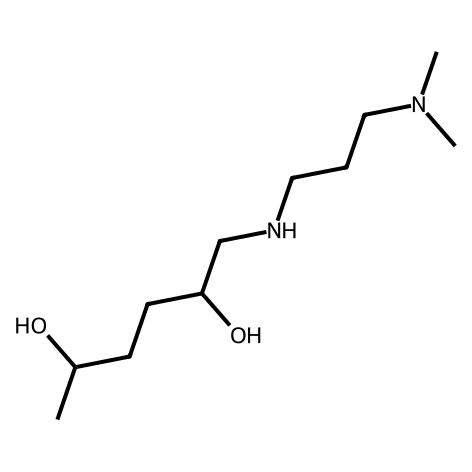 CC(O)CCC(O)CNCCCN(C)C